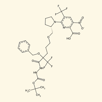 CC(C)(C)OC(=O)NNC(=O)C(CCCOC[C@@H]1CCCN1c1nc(C(=O)O)c([N+](=O)[O-])cc1C(F)(F)F)(OCc1ccccc1)C(F)(F)F